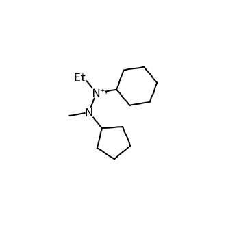 CC[N+](C1CCCCC1)N(C)C1CCCC1